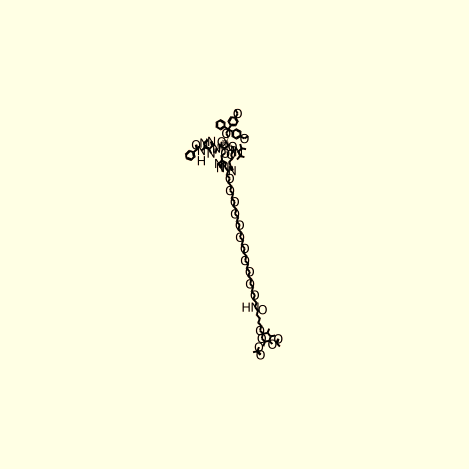 COc1ccc(C(OC[C@H]2O[C@@H](n3cnc4c(NC(=O)c5ccccc5)ncnc43)[C@H](OCc3cn(CCOCCOCCOCCOCCOCCOCCOCCOCCOCCOCCOCCNC(=O)CCCCOC4OC(COC(C)=O)C(OC(C)=O)C(C)C4C)nn3)[C@@H]2OP(OCCC#N)N(C(C)C)C(C)C)(c2ccccc2)c2ccc(OC)cc2)cc1